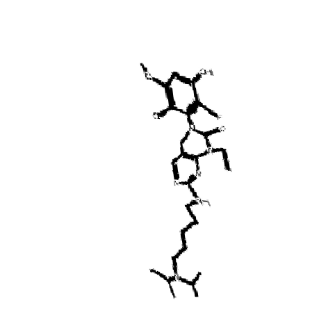 CCN1C(=O)N(c2c(F)c(O)cc(OC)c2Cl)Cc2cnc(NCCCCCN(C(C)C)C(C)C)nc21